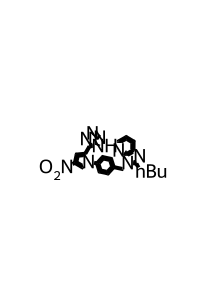 CCCCc1nc2cccnc2n1Cc1ccc(-n2cc([N+](=O)[O-])cc2-c2nnn[nH]2)cc1